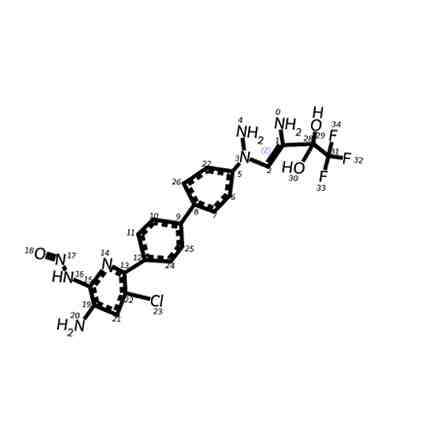 N/C(=C\N(N)c1ccc(-c2ccc(-c3nc(NN=O)c(N)cc3Cl)cc2)cc1)C(O)(O)C(F)(F)F